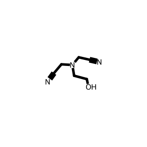 N#CCN(CC#N)CCO